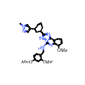 COc1ccc(CNc2nc3c(OC)cccc3c3nc(C4CCCC(c5cnn(C)c5)C4)nn23)c(OC)c1